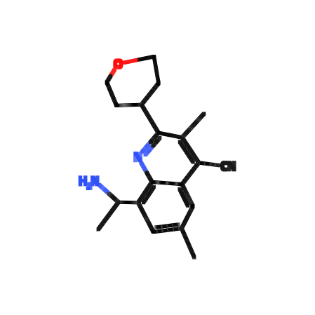 Cc1cc(C(C)N)c2nc(C3CCOCC3)c(C)c(C#N)c2c1